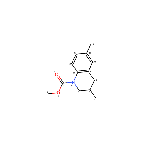 COC(=O)N1CC(C)Cc2cc(C)ccc21